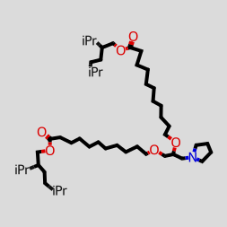 CC(C)CCC(COC(=O)CCCCCCCCCCOCC(CN1CCCC1)OCCCCCCCCCCC(=O)OCC(CCC(C)C)C(C)C)C(C)C